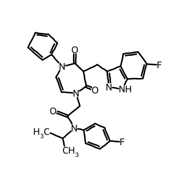 CC(C)N(C(=O)CN1C=CN(c2ccccc2)C(=O)C(Cc2n[nH]c3cc(F)ccc23)C1=O)c1ccc(F)cc1